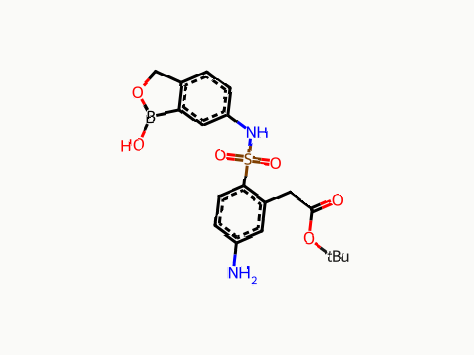 CC(C)(C)OC(=O)Cc1cc(N)ccc1S(=O)(=O)Nc1ccc2c(c1)B(O)OC2